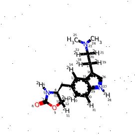 [2H]c1c(C[C@@H]2N([2H])C(=O)OC2([2H])[2H])c([2H])c2c(C([2H])([2H])C([2H])([2H])N(C)C)cn([2H])c2c1[2H]